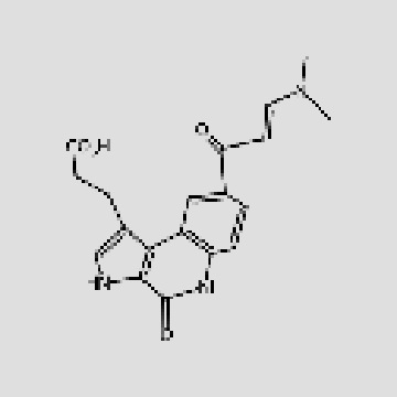 CN(C)C=CC(=O)c1ccc2[nH]c(=O)c3[nH]cc(CCC(=O)O)c3c2c1